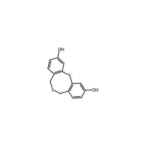 Oc1ccc2c(c1)Sc1cc(O)ccc1CSC2